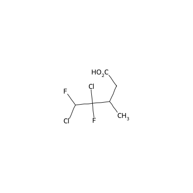 CC(CC(=O)O)C(F)(Cl)C(F)Cl